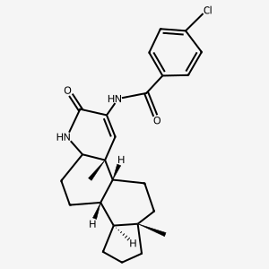 C[C@@]12CCC[C@H]1[C@@H]1CCC3NC(=O)C(NC(=O)c4ccc(Cl)cc4)=C[C@]3(C)[C@@H]1CC2